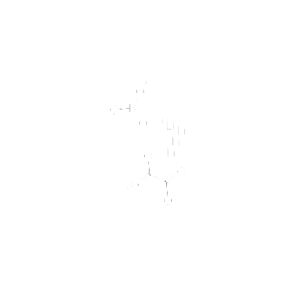 O=C([O-])C(=O)[O-].[Li+].[Li+].[Li+].[Li+].[Li+].[O-]B([O-])[O-]